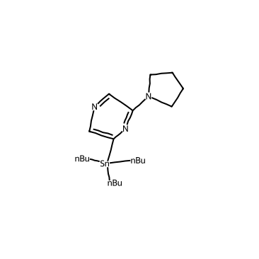 CCC[CH2][Sn]([CH2]CCC)([CH2]CCC)[c]1cncc(N2CCCC2)n1